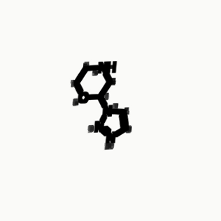 c1cn(C2CNCCO2)nn1